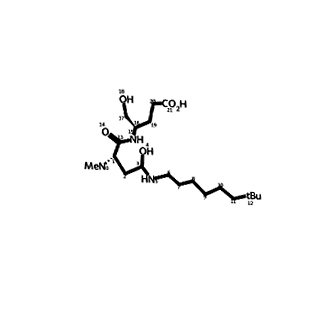 CN[C@@H](CC(O)NCCCCCCC(C)(C)C)C(=O)N[C@@H](CO)CCC(=O)O